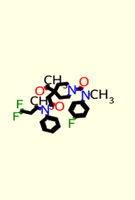 CC(=O)C1(CC(=O)N(c2ccccc2)C(C)CC(F)F)CCN(C(=O)N(C)c2ccc(F)cc2)CC1